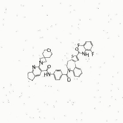 O=C(Nc1c(F)cccc1F)c1cc2c(s1)CCN(C(=O)c1ccc(NC(=O)c3cc4c(nc3N3CC5(CCOCC5)C3)CCC4)cc1)c1ccccc1-2